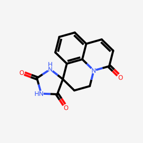 O=C1NC(=O)C2(CCn3c(=O)ccc4cccc2c43)N1